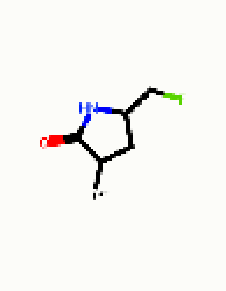 CC(C)C1CC(CF)NC1=O